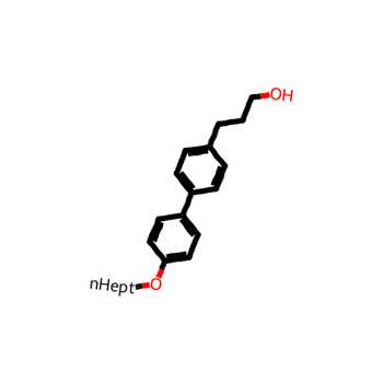 CCCCCCCOc1ccc(-c2ccc(CCCO)cc2)cc1